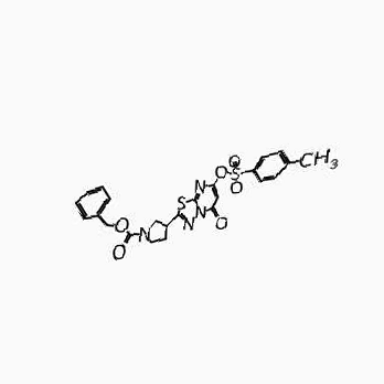 Cc1ccc(S(=O)(=O)Oc2cc(=O)n3nc(C4CCN(C(=O)OCc5ccccc5)C4)sc3n2)cc1